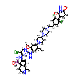 CCc1cc(Nc2ncc(Br)c(Nc3ccc4c(C)nccc4c3P(C)(C)=O)n2)c(OC)cc1N1CCC(N2CCN(CCc3cc(F)c(C4CCC(=O)NC4=O)c(F)c3)CC2)CC1